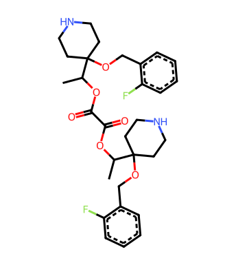 CC(OC(=O)C(=O)OC(C)C1(OCc2ccccc2F)CCNCC1)C1(OCc2ccccc2F)CCNCC1